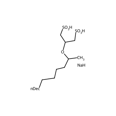 CCCCCCCCCCCCCCC(C)OC(CS(=O)(=O)O)CS(=O)(=O)O.[NaH]